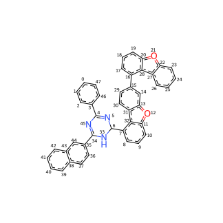 c1ccc(C2=NC(c3cccc4oc5cc(-c6cccc7oc8ccccc8c67)ccc5c34)NC(c3ccc4ccccc4c3)=N2)cc1